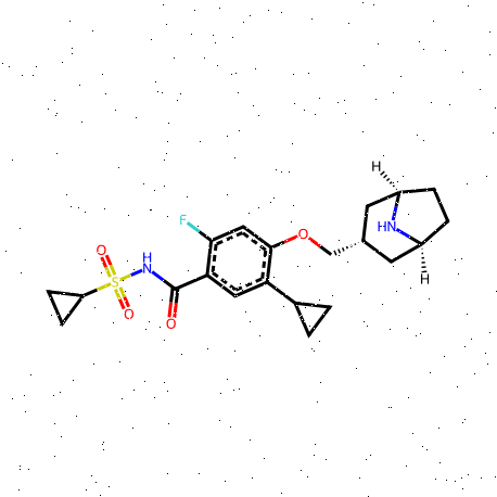 O=C(NS(=O)(=O)C1CC1)c1cc(C2CC2)c(OC[C@@H]2C[C@H]3CC[C@@H](C2)N3)cc1F